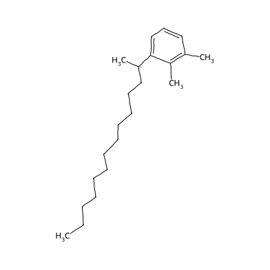 CCCCCCCCCCCC[C](C)c1cccc(C)c1C